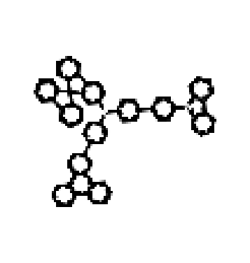 c1ccc2c(c1)-c1ccccc1C21c2ccccc2-c2ccc(N(c3ccc(-c4ccc(-n5c6ccccc6c6ccccc65)cc4)cc3)c3ccc(-c4ccc5c6ccccc6c6ccccc6c5c4)cc3)cc21